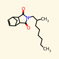 CCCCCCC(C)CN1C(=O)C2C3C=CC(C3)C2C1=O